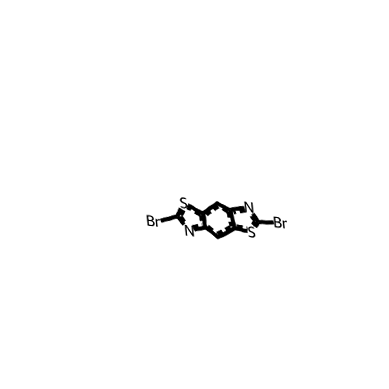 Brc1nc2cc3sc(Br)nc3cc2s1